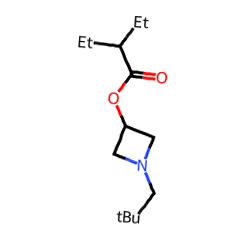 CCC(CC)C(=O)OC1CN(CC(C)(C)C)C1